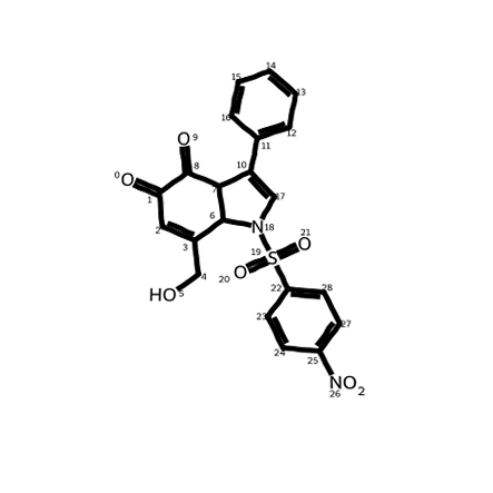 O=C1C=C(CO)C2C(C1=O)C(c1ccccc1)=CN2S(=O)(=O)c1ccc([N+](=O)[O-])cc1